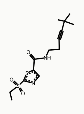 CCS(=O)(=O)c1ncc(C(=O)NCCC#CC(C)(C)C)s1